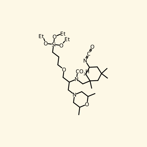 CCO[Si](CCCOCC(CN1CC(C)OC(C)C1)N(CC1(C)CC(N=C=O)CC(C)(C)C1)C(=O)O)(OCC)OCC